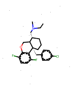 CCN(C)C[C@@H]1CCC[C@@]2(Cc3ccc(Cl)cc3)c3c(F)ccc(F)c3OCC12